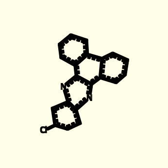 Clc1ccc2nc3c4ccccc4c4ccccc4c3nc2c1